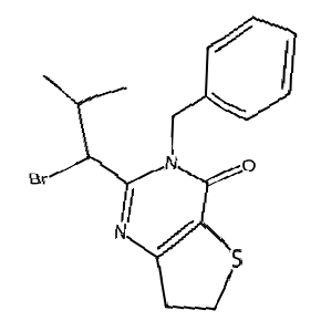 CC(C)C(Br)c1nc2c(c(=O)n1Cc1ccccc1)SCC2